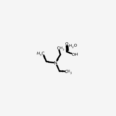 CCN(CC)CC.O.O=CO